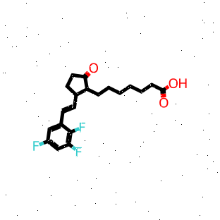 O=C(O)CCCCCCC1C(=O)CCC1/C=C/c1cc(F)cc(F)c1F